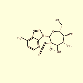 C[C@@]1(N=[N+]=[N-])[C@H](O)[C@@H](O)[C@H](O)[C@@H](CO)O[C@H]1n1cnc2c(N)ncnc21